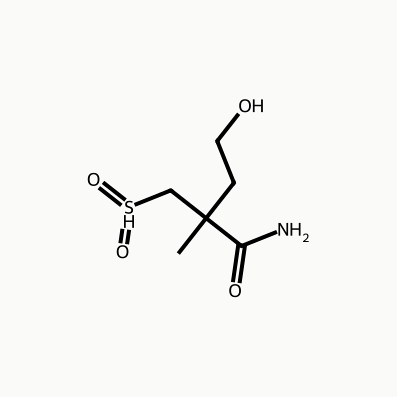 CC(CCO)(C[SH](=O)=O)C(N)=O